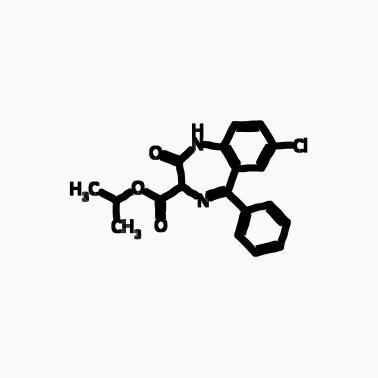 CC(C)OC(=O)C1N=C(c2ccccc2)c2cc(Cl)ccc2NC1=O